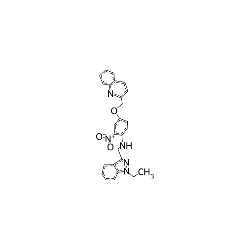 CCn1nc(CNc2ccc(OCc3ccc4ccccc4n3)cc2[N+](=O)[O-])c2ccccc21